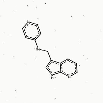 c1cnc2[nH]cc(CNc3ccncc3)c2c1